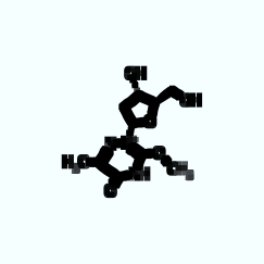 COc1[nH]c(=O)c(C)n[n+]1[C@@H]1C[C@H](O)[C@@H](CO)O1